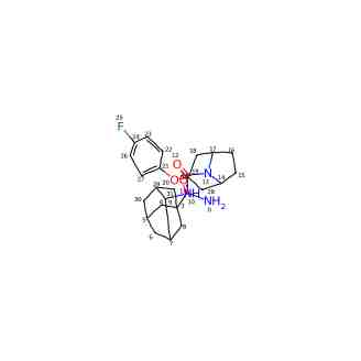 NC(=O)C12CC3CC(C1)C(NC(=O)N1C4CCC1CC(Oc1ccc(F)cc1)C4)C(C3)C2